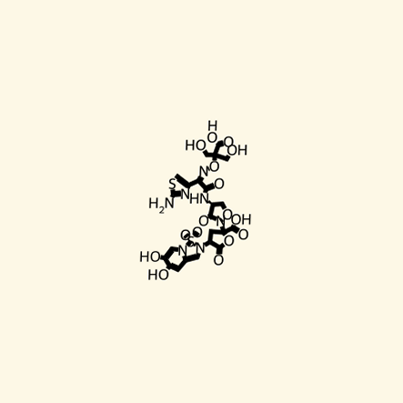 Nc1nc(/C(=N/OC(CO)(CO)C(=O)O)C(=O)N[C@H]2CON(C3(C(=O)O)CC(N4C=C5C=C(O)C(O)=CN5S4(=O)=O)C(=O)O3)C2=O)cs1